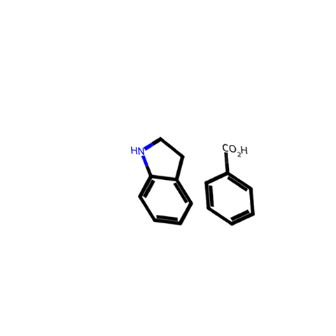 O=C(O)c1ccccc1.c1ccc2c(c1)CCN2